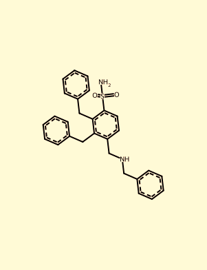 NS(=O)(=O)c1ccc(CNCc2ccccc2)c(Cc2ccccc2)c1Cc1ccccc1